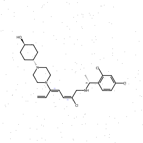 C=C/C(=C\C=C(\Cl)CN[C@H](C)c1ccc(Cl)cc1Cl)N1CCN([C@H]2CC[C@H](O)CC2)CC1